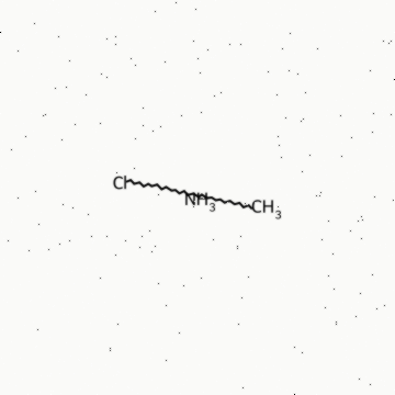 CCCCCCCCCCCCCCCCCCCCCCCCCCCCCCl.N